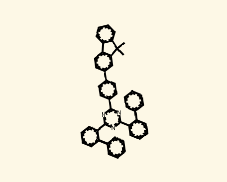 CC1(C)c2ccccc2-c2ccc(-c3ccc(-c4nc(-c5ccccc5-c5ccccc5)nc(-c5ccccc5-c5ccccc5)n4)cc3)cc21